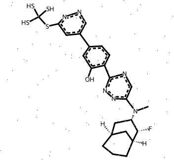 CN(c1cnc(-c2ccc(-c3cnnc(SC(S)(S)S)c3)cc2O)nn1)[C@H]1C[C@@H]2CCC[C@@H](C2)[C@H]1F